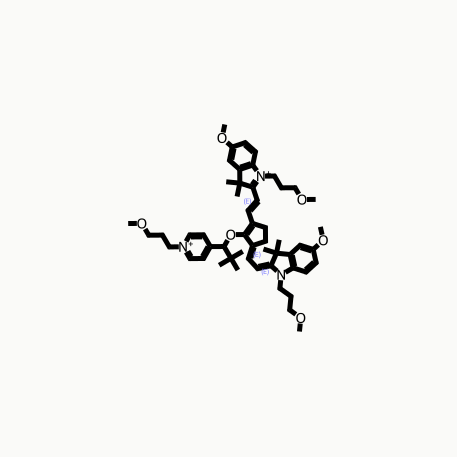 COCCCN1/C(=C/C=C2\CCC(/C=C/C3=[N+](CCCOC)c4ccc(OC)cc4C3(C)C)=C2OC(c2cc[n+](CCCOC)cc2)C(C)(C)C)C(C)(C)c2cc(OC)ccc21